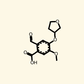 COc1cc(C(=O)O)c(C=O)cc1OC1CCOC1